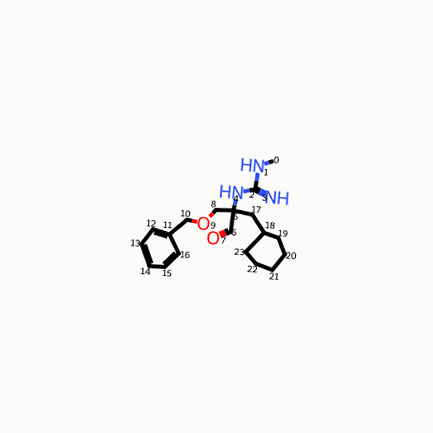 CNC(=N)NC(C=O)(COCc1ccccc1)CC1CCCCC1